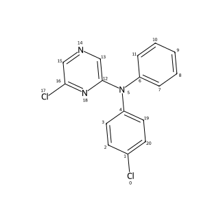 Clc1ccc(N(c2ccccc2)c2cncc(Cl)n2)cc1